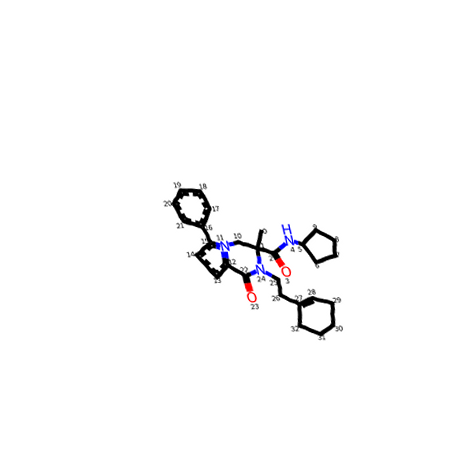 CC1(C(=O)NC2CCCC2)Cn2c(ccc2-c2ccccc2)C(=O)N1CCC1=CCCCC1